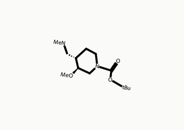 CNC[C@@H]1CCN(C(=O)OC(C)(C)C)C[C@H]1OC